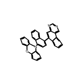 c1ccc2c(c1)Oc1ccccc1N2c1ccc(-c2cc3ncncc3c3ccccc23)c2ccccc12